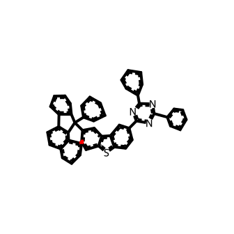 c1ccc(-c2nc(-c3ccccc3)nc(-c3ccc4sc5ccc(C6(c7ccccc7)c7ccccc7-c7ccc8ccccc8c76)cc5c4c3)n2)cc1